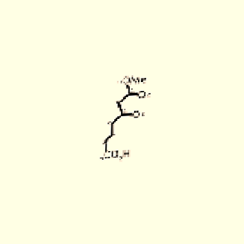 COC(=O)CC(=O)CCCC(=O)O